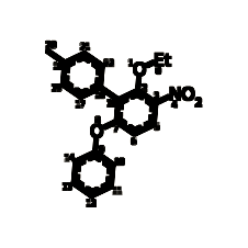 CCOc1c([N+](=O)[O-])ccc(Oc2ccccc2)c1-c1ccc(C)cc1